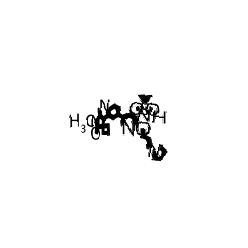 CN1C(=O)C2(CCC2)c2c1cnc1ccc(-c3cnc(OCCCN4CCCC4)c(NS(=O)(=O)C4CC4)c3)cc21